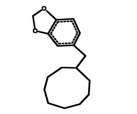 c1cc2c(cc1CC1CCCCCCCC1)OCO2